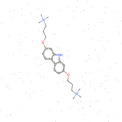 C[N+](C)(C)CCCOc1ccc2c(c1)[nH]c1cc(OCCC[N+](C)(C)C)ccc12